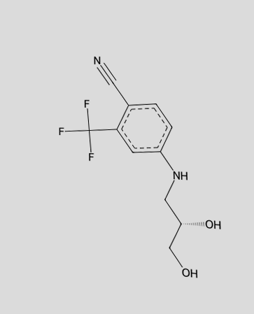 N#Cc1ccc(NC[C@H](O)CO)cc1C(F)(F)F